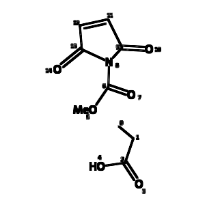 CCC(=O)O.COC(=O)N1C(=O)C=CC1=O